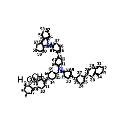 CC1(C)c2ccccc2-c2ccc(-c3ccc(N(c4ccc(-c5cccc(-c6ccc7ccccc7c6)c5)cc4)c4ccc(-c5cccc(-n6c7ccccc7c7ccccc76)c5)cc4)cc3)cc21